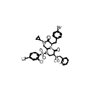 O=C1C(Cc2ccc(Br)cc2)N2C(=O)C(N(Cc3ccccc3)C(=O)O)CN(S(=O)(=O)c3ccc(Cl)cc3Cl)C2CN1C1CC1